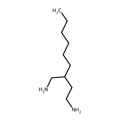 CCCCCCC(CN)CCN